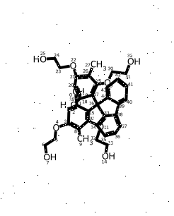 Cc1cc(OCCO)c(C)c(OCCO)c1C1(c2c(C)cc(OCCO)c(C)c2OCCO)c2ccccc2-c2ccccc21